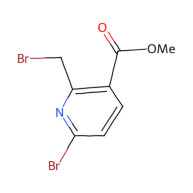 COC(=O)c1ccc(Br)nc1CBr